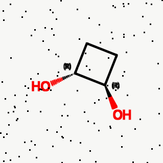 O[C@@H]1CC[C@H]1O